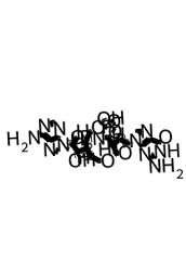 NC[C@@H]1C2OCC[C@H]3[C@@H](O)[C@H](n4cnc5c(N)ncnc54)O[C@@H]3COP(=O)(O)O[C@H]1[C@H](n1cnc3c(=O)[nH]c(N)nc31)O2